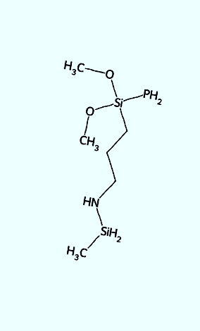 CO[Si](P)(CCCN[SiH2]C)OC